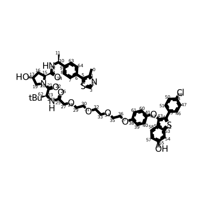 Cc1ncsc1-c1ccc([C@H](C)NC(=O)[C@@H]2C[C@@H](O)CN2C(=O)[C@@H](NC(=O)COCCOCCOCCOc2ccc(Oc3c(-c4ccc(Cl)cc4)sc4cc(O)ccc34)cc2)C(C)(C)C)cc1